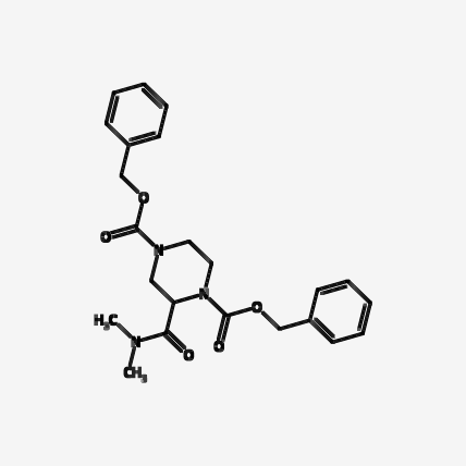 CN(C)C(=O)C1CN(C(=O)OCc2ccccc2)CCN1C(=O)OCc1ccccc1